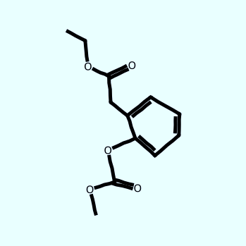 CCOC(=O)Cc1ccccc1OC(=O)OC